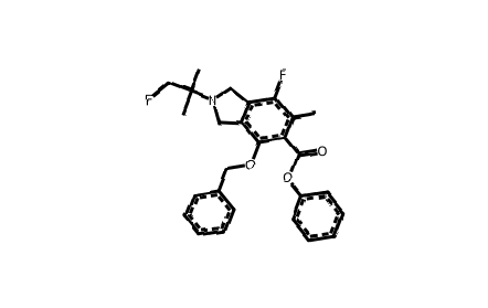 Cc1c(F)c2c(c(OCc3ccccc3)c1C(=O)Oc1ccccc1)CN(C(C)(C)CF)C2